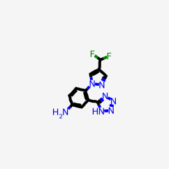 Nc1ccc(-n2cc(C(F)F)cn2)c(-c2nnn[nH]2)c1